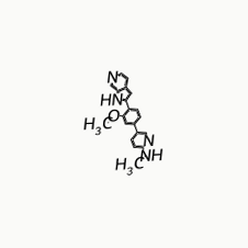 CNc1ccc(-c2ccc(-c3cc4ccncc4[nH]3)c(OC)c2)cn1